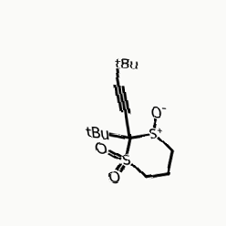 CC(C)(C)C#CC1(C(C)(C)C)[S+]([O-])CCCS1(=O)=O